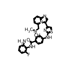 CN(C)Cc1cccc2ncc(-c3csc(Nc4ccc(C(=O)Nc5c(N)cccc5F)cc4)n3)n12